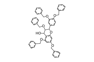 OC1c2c(OCc3ccccc3)cc(OCc3ccccc3)cc2OC(c2ccc(OCc3ccccc3)c(OCc3ccccc3)c2)C1OCc1ccccc1